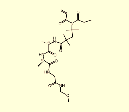 C=CC(=O)N(C(=O)CC)C(C)(C)CC(C)(C)C(=O)N[C@@H](C)C(=O)N[C@H](C)C(=O)NCC(=O)NCOC